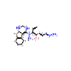 C=C/C(=C(O)\C=C\C=NN)N(N)C1=C2C3=C(CCCC3)SC2NCN1